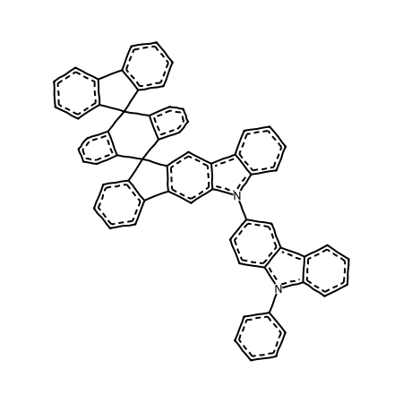 c1ccc(-n2c3ccccc3c3cc(-n4c5ccccc5c5cc6c(cc54)-c4ccccc4C64c5ccccc5C5(c6ccccc6-c6ccccc65)c5ccccc54)ccc32)cc1